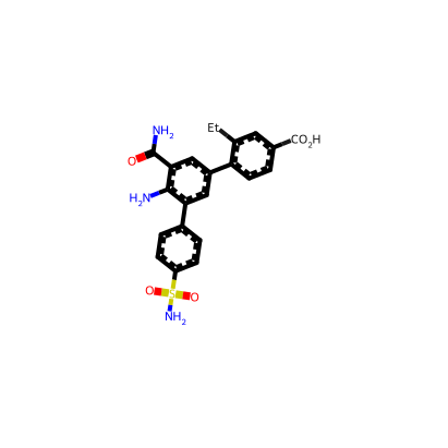 CCc1cc(C(=O)O)ccc1-c1cc(C(N)=O)c(N)c(-c2ccc(S(N)(=O)=O)cc2)c1